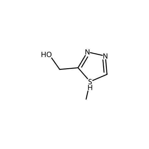 C[SH]1C=NN=C1CO